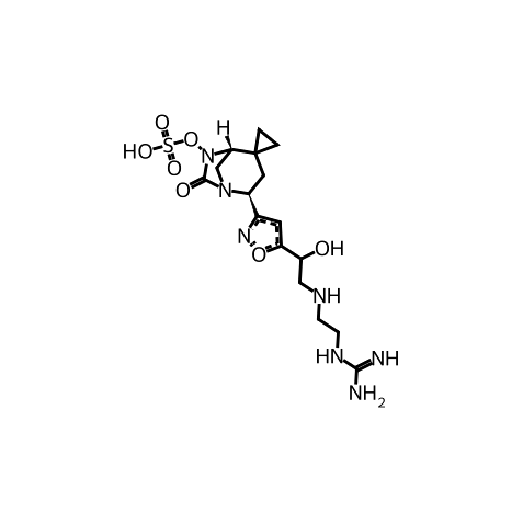 N=C(N)NCCNCC(O)c1cc([C@@H]2CC3(CC3)[C@@H]3CN2C(=O)N3OS(=O)(=O)O)no1